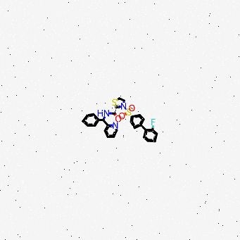 O=C(NC(c1ccccc1)c1ccccn1)[C@@H]1SCCN1S(=O)(=O)c1ccc(-c2ccccc2F)cc1